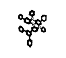 c1ccc(-c2cc(-c3ccccc3)cc(-c3ccc4c(c3)B3c5ccc(-c6ccccc6)cc5N(c5ccccc5)c5cc(C6CCCCC6)cc(c53)N4c3ccccc3)c2)cc1